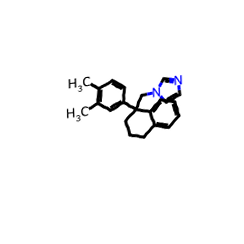 Cc1ccc(C2(Cn3ccnc3)CCCc3ccccc32)cc1C